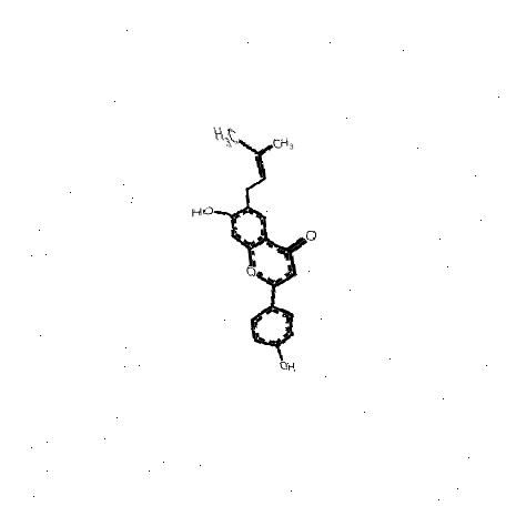 CC(C)=CCc1cc2c(=O)cc(-c3ccc(O)cc3)oc2cc1O